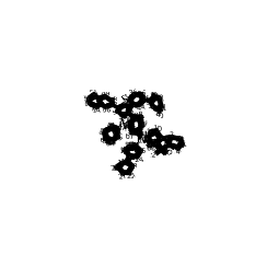 CC1(C)c2ccccc2-c2ccc(N(c3ccc(-c4ccccc4)cc3)c3ccc4c5c6c(sc7ccc(-c8ccccc8)cc76)c(-c6ccc7ccccc7c6)cc5n(-c5ccccc5)c4c3)cc21